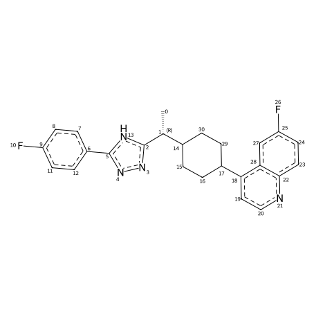 C[C@@H](c1nnc(-c2ccc(F)cc2)[nH]1)C1CCC(c2ccnc3ccc(F)cc23)CC1